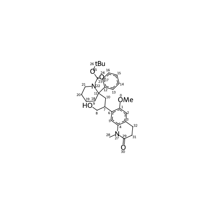 COc1cc2c(cc1C(CO)CC1(c3ccccc3)CCCCN1C(=O)OC(C)(C)C)N(C)C(=O)CC2